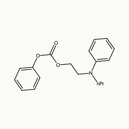 CCCN(CCOC(=O)Oc1ccccc1)c1ccccc1